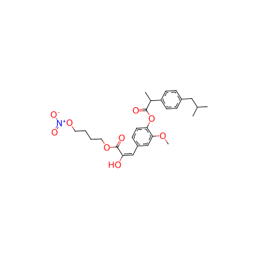 COc1cc(/C=C(/O)C(=O)OCCCCO[N+](=O)[O-])ccc1OC(=O)C(C)c1ccc(CC(C)C)cc1